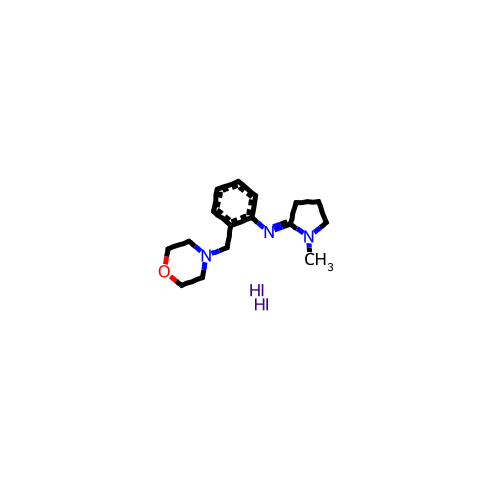 CN1CCCC1=Nc1ccccc1CN1CCOCC1.I.I